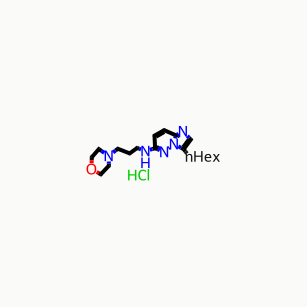 CCCCCCc1cnc2ccc(NCCCN3CCOCC3)nn12.Cl